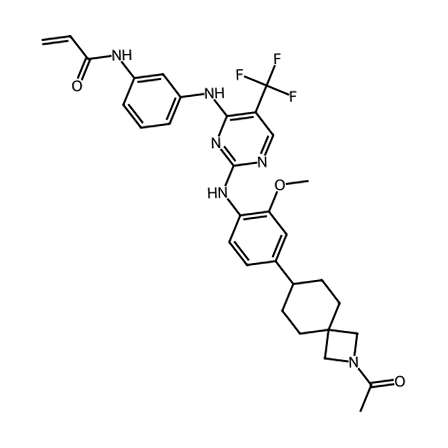 C=CC(=O)Nc1cccc(Nc2nc(Nc3ccc(C4CCC5(CC4)CN(C(C)=O)C5)cc3OC)ncc2C(F)(F)F)c1